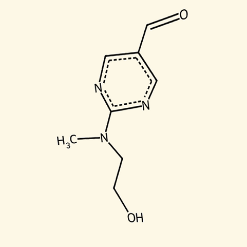 CN(CCO)c1ncc(C=O)cn1